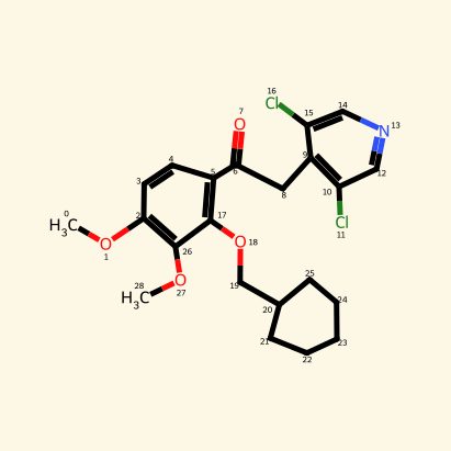 COc1ccc(C(=O)Cc2c(Cl)cncc2Cl)c(OCC2CCCCC2)c1OC